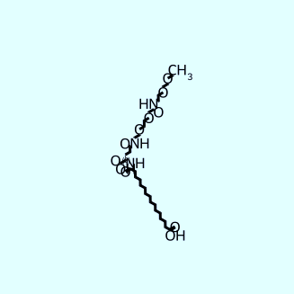 CCOCCOCCNC(=O)COCCOCCNC(=O)CC[C@H](NC(=O)CCCCCCCCCCCCCCC(=O)O)C(=O)O